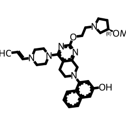 CO[C@@H]1CCN(CCOc2nc3c(c(N4CCN(C=CC=O)CC4)n2)CCN(c2cc(O)cc4ccccc24)C3)C1